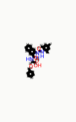 Cc1cc(C)c(NC(=O)Nc2cc3ccccc3cc2C(=O)N[C@@H](COCc2ccccc2)C(=O)O)c(C)c1